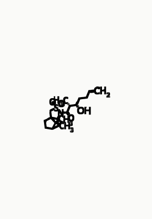 C=CCC[C@@H](O)[C@@H](C)C(=O)N1C2CC3CCC2(CS1(=O)=O)C3(C)C